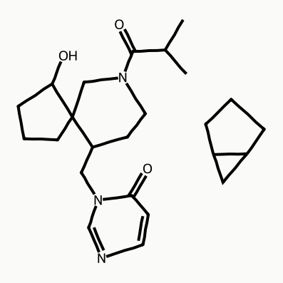 C1CC2CC2C1.CC(C)C(=O)N1CCC(Cn2cnccc2=O)C2(CCCC2O)C1